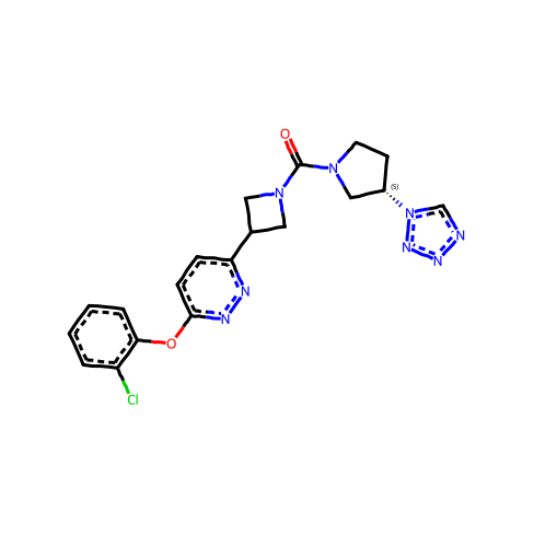 O=C(N1CC(c2ccc(Oc3ccccc3Cl)nn2)C1)N1CC[C@H](n2cnnn2)C1